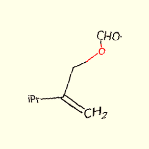 C=C(CO[C]=O)C(C)C